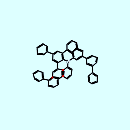 c1ccc(-c2cccc(-c3cccc(N(c4cccc(-c5cccc(-c6ccccc6)c5)c4)c4c(-c5ccccc5)cc(-c5ccccc5)cc4-c4ccccc4)c3)c2)cc1